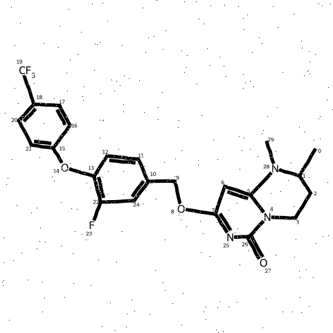 CC1CCn2c(cc(OCc3ccc(Oc4ccc(C(F)(F)F)cc4)c(F)c3)nc2=O)N1C